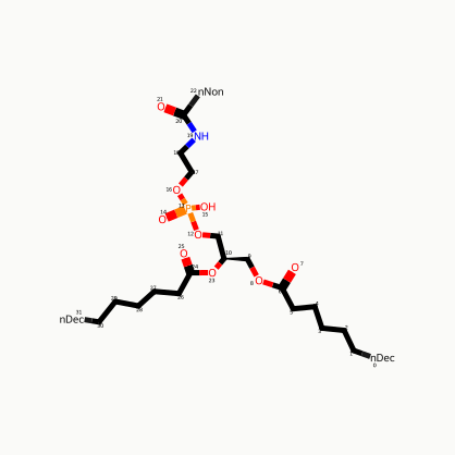 CCCCCCCCCCCCCCCC(=O)OC[C@H](COP(=O)(O)OCCNC(=O)CCCCCCCCC)OC(=O)CCCCCCCCCCCCCCC